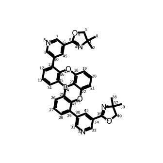 CC1(C)COC(c2cncc(-c3cccc4c3Oc3cccc5c3B4c3cccc(-c4cncc(C6=NC(C)(C)CO6)c4)c3O5)c2)=N1